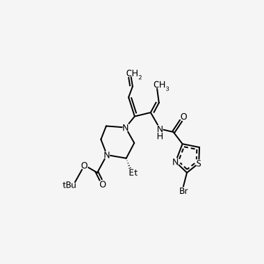 C=C/C=C(\C(=C/C)NC(=O)c1csc(Br)n1)N1CCN(C(=O)OC(C)(C)C)[C@@H](CC)C1